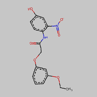 CCOc1cccc(OCC(=O)Nc2ccc(O)cc2[N+](=O)[O-])c1